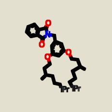 CC(C)CCCC(C)CCOc1cc(CN2C(=O)c3ccccc3C2=O)cc(OCCC(C)CCCC(C)C)c1